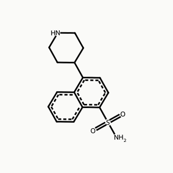 NS(=O)(=O)c1ccc(C2CCNCC2)c2ccccc12